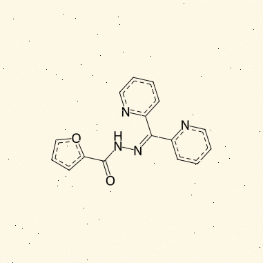 O=C(NN=C(c1ccccn1)c1ccccn1)c1ccco1